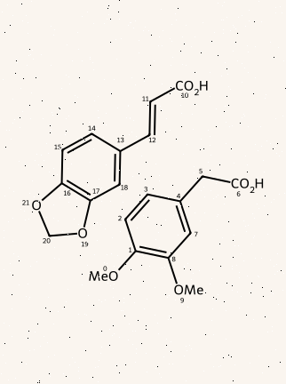 COc1ccc(CC(=O)O)cc1OC.O=C(O)/C=C/c1ccc2c(c1)OCO2